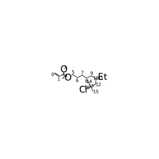 C=CC(=O)OCCCCCC(CC)CC(C)(C)Cl